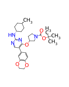 CC(C)(C)OC(=O)N1CCC(Oc2nc(N[C@H]3CC[C@H](C)CC3)ncc2-c2ccc3c(c2)OCCO3)C1